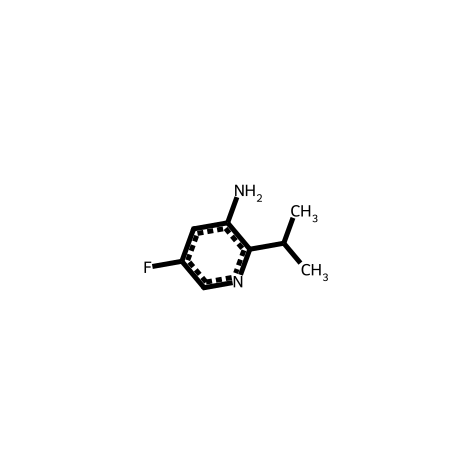 CC(C)c1ncc(F)cc1N